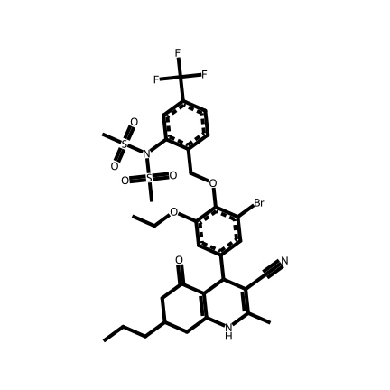 CCCC1CC(=O)C2=C(C1)NC(C)=C(C#N)C2c1cc(Br)c(OCc2ccc(C(F)(F)F)cc2N(S(C)(=O)=O)S(C)(=O)=O)c(OCC)c1